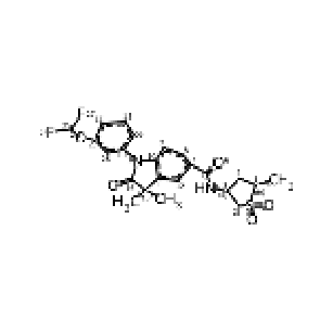 C[C@@H]1C[C@H](NC(=O)c2ccc3c(c2)C(C)(C)C(=O)N3c2cccc(OC(F)F)c2)CS1(=O)=O